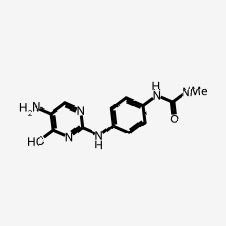 CNC(=O)Nc1ccc(Nc2ncc(N)c(O)n2)cc1